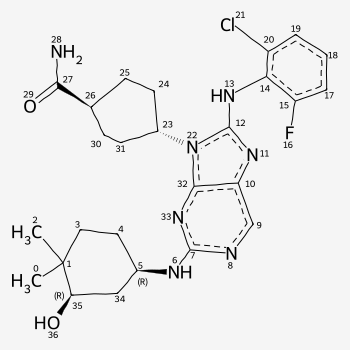 CC1(C)CC[C@@H](Nc2ncc3nc(Nc4c(F)cccc4Cl)n([C@H]4CC[C@H](C(N)=O)CC4)c3n2)C[C@H]1O